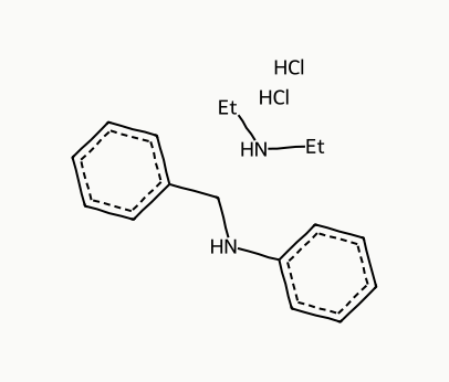 CCNCC.Cl.Cl.c1ccc(CNc2ccccc2)cc1